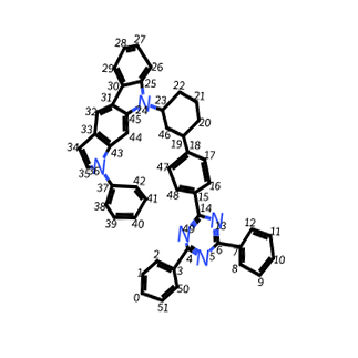 c1ccc(-c2nc(-c3ccccc3)nc(-c3ccc(C4CCCC(n5c6ccccc6c6cc7ccn(-c8ccccc8)c7cc65)C4)cc3)n2)cc1